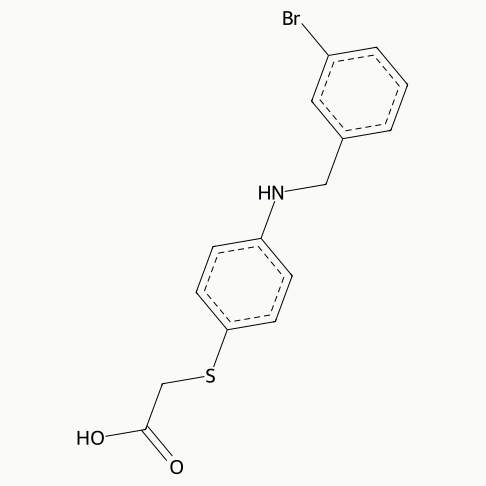 O=C(O)CSc1ccc(NCc2cccc(Br)c2)cc1